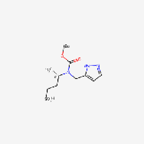 C[C@@H](CCS(=O)(=O)O)N(Cc1ccn[nH]1)C(=O)OC(C)(C)C